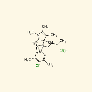 CCCC[Si](C)(c1cc(C)cc(C)c1)C1(C)C(C)=C(C)C(C)=[C]1[Ti+3].[Cl-].[Cl-].[Cl-]